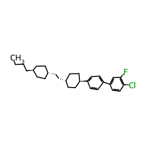 CCCC[C@H]1CC[C@H](CC[C@H]2CC[C@H](c3ccc(-c4ccc(Cl)c(F)c4)cc3)CC2)CC1